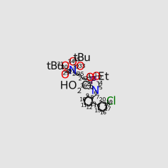 CCOP1(=O)CCN(Cc2ccccc2-c2cccc(Cl)c2)C[C@@]1(CCCCN(C(=O)OC(C)(C)C)C(=O)OC(C)(C)C)C(=O)O